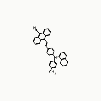 Cc1ccc(N(c2ccc(C=Cc3c4ccccc4c(C#N)c4ccccc34)cc2)c2cccc3c2CCCC3)cc1